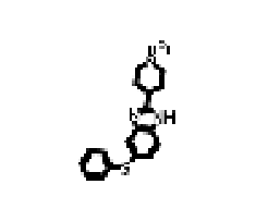 CCCN1CCC(c2nc3cc(Sc4ccccc4)ccc3[nH]2)CC1